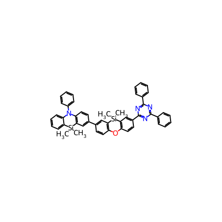 C[Si]1(C)c2cc(-c3ccc4c(c3)[Si](C)(C)c3ccccc3N4c3ccccc3)ccc2Oc2ccc(-c3nc(-c4ccccc4)nc(-c4ccccc4)n3)cc21